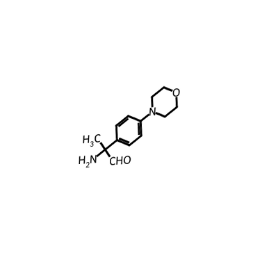 CC(N)(C=O)c1ccc(N2CCOCC2)cc1